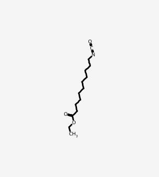 CCOC(=O)CCCCCCCCCCN=C=O